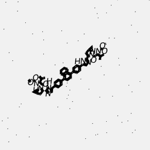 COC(=O)N[C@H](C(=O)N1C(c2ncc(-c3ccc(-c4ccc(-c5ccc(-c6cnc([C@@H]7CC8CC8N7C(=O)[C@@H](NC(=O)OC)C(C)C)[nH]6)cc5)c5c4C4CCC5CC4)cc3)[nH]2)CC2CC21)C(C)C